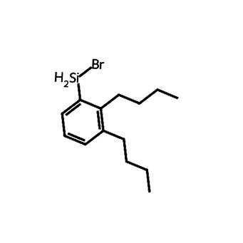 CCCCc1cccc([SiH2]Br)c1CCCC